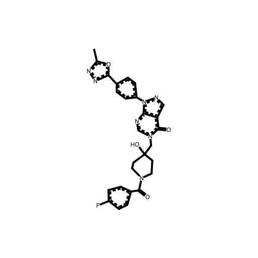 Cc1nnc(-c2ccc(-n3ncc4c(=O)n(CC5(O)CCN(C(=O)c6ccc(F)cc6)CC5)cnc43)cc2)o1